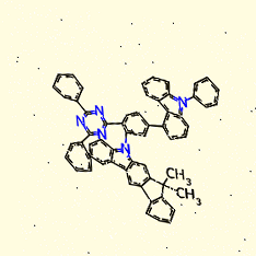 CC1(C)c2ccccc2-c2cc3c4ccccc4n(-c4cc(-c5cccc6c5c5ccccc5n6-c5ccccc5)ccc4-c4nc(-c5ccccc5)nc(-c5ccccc5)n4)c3cc21